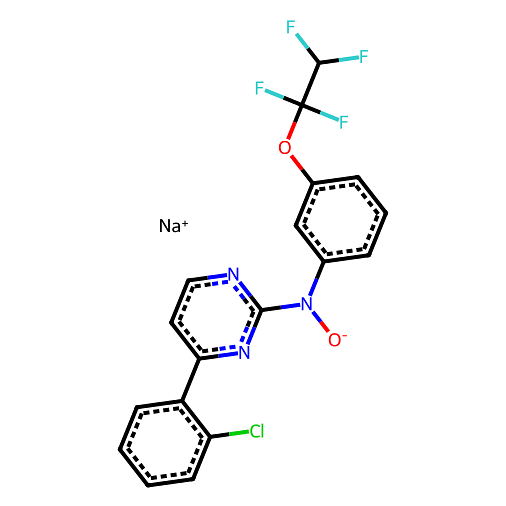 [Na+].[O-]N(c1cccc(OC(F)(F)C(F)F)c1)c1nccc(-c2ccccc2Cl)n1